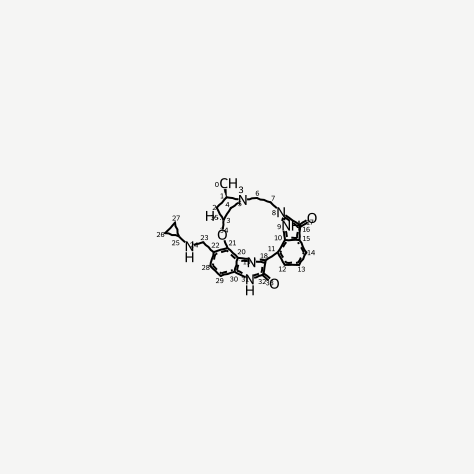 C[C@@H]1C[C@H]2CN1CCn1[nH]c3c(cccc3c1=O)-c1nc3c(c(CNC4CC4)ccc3[nH]c1=O)O2